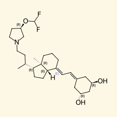 CC(CCN1CC[C@@H](OC(F)F)C1)[C@H]1CC[C@H]2/C(=C/C=C3C[C@@H](O)C[C@H](O)C3)CCC[C@]12C